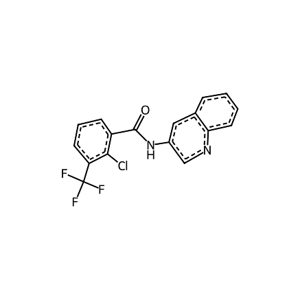 O=C(Nc1cnc2ccccc2c1)c1cccc(C(F)(F)F)c1Cl